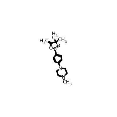 C=C1OB(c2ccc(N3CCN(C)CC3)cc2)OC1(C)C